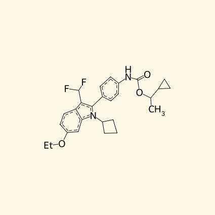 CCOc1ccc2c(C(F)F)c(-c3ccc(NC(=O)OC(C)C4CC4)cc3)n(C3CCC3)c2c1